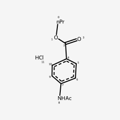 CCCOC(=O)c1ccc(NC(C)=O)cc1.Cl